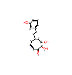 O=C1/C=C\CC(CCc2cccc(O)c2)CC(O)C1O